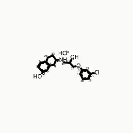 Cl.Oc1ccc2c(c1)CC(NCC(O)COc1cccc(Cl)c1)CC2